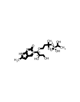 CCC(C)(CCO[C@H]([C@H](O)CO)n1cc2cc(C)[nH]c2nc1=O)OP(=O)(O)C(C)O